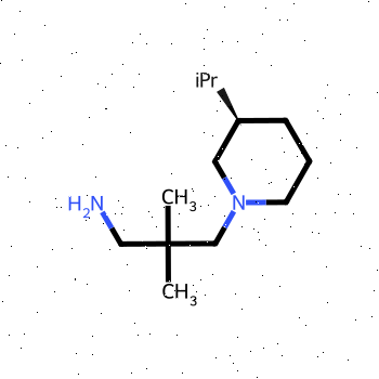 CC(C)[C@H]1CCCN(CC(C)(C)CN)C1